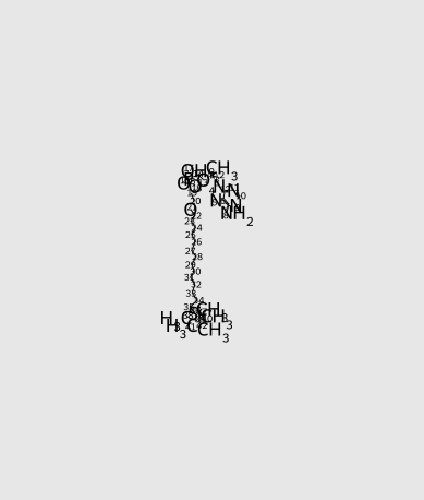 C[C@H](Cn1cnc2c(N)ncnc21)OCP(=O)(O)OCCOCCCCCCCCCCCCCC[Si](C)(C)C(C)(C)C